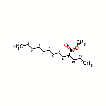 CCCCCCCCCC(CCC)C(=O)OC